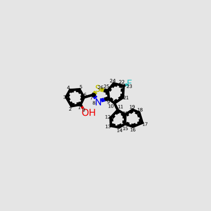 Oc1ccccc1-c1nc2c(-c3cccc4ccccc34)cc(F)cc2s1